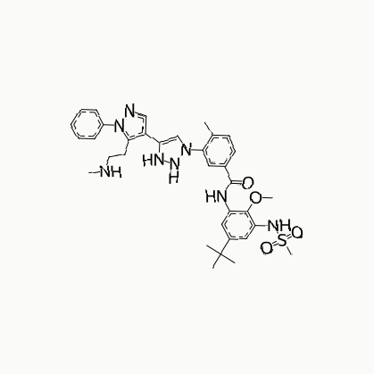 CNCCc1c(C2=CN(c3cc(C(=O)Nc4cc(C(C)(C)C)cc(NS(C)(=O)=O)c4OC)ccc3C)NN2)cnn1-c1ccccc1